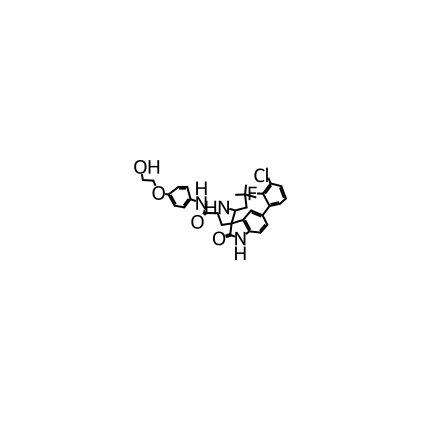 CC(C)(C)CC1NC(C(=O)Nc2ccc(OCCO)cc2)CC12C(=O)Nc1ccc(-c3cccc(Cl)c3F)cc12